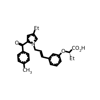 CCc1cc(C(=O)c2ccc(C)cc2)n(C/C=C/c2cccc(O[C@@H](CC)C(=O)O)c2)c1